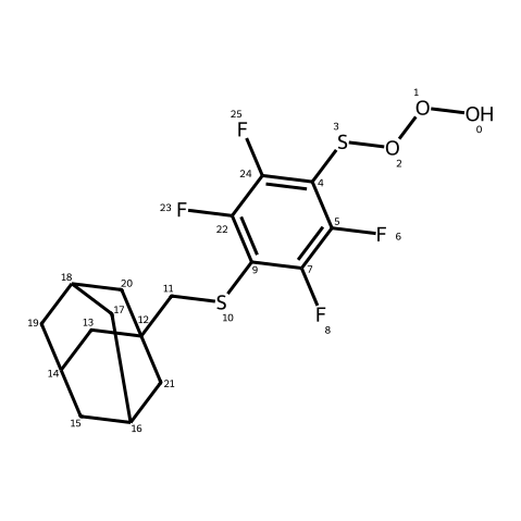 OOOSc1c(F)c(F)c(SCC23CC4CC(CC(C4)C2)C3)c(F)c1F